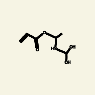 C=CC(=O)OC(C)NC(O)O